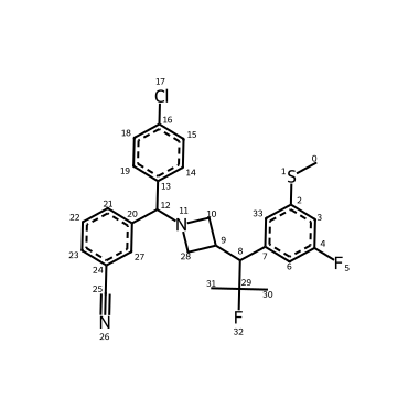 CSc1cc(F)cc(C(C2CN(C(c3ccc(Cl)cc3)c3cccc(C#N)c3)C2)C(C)(C)F)c1